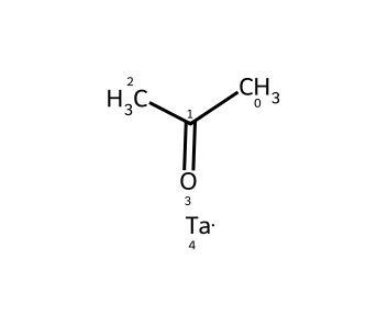 CC(C)=O.[Ta]